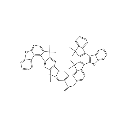 C=C(Cc1ccc2c(c1)C(C)(C)c1c3c(c4c(oc5ccccc54)c1-2)-c1ccccc1C3(C)C)c1ccc2c(c1)C(C)(C)c1cc3c(cc1-2)C(C)(C)c1ccc2oc4ccccc4c2c1-3